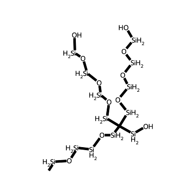 C[SiH2]O[SiH2][SiH2]O[SiH2]C([SiH2]O)([SiH2]O[SiH2]O[SiH2]O[SiH2]O)[SiH2]O[SiH2]O[SiH2]O[SiH2]O